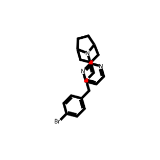 Brc1ccc(COC=C2CC3CCC(C2)N3c2ncccn2)cc1